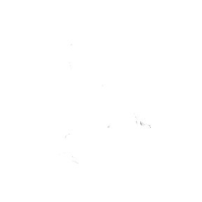 NC(=O)c1cc(-c2ccccc2)sc1Nc1ccc(F)cn1